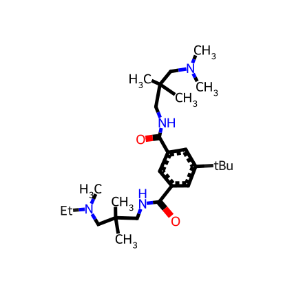 CCN(C)CC(C)(C)CNC(=O)c1cc(C(=O)NCC(C)(C)CN(C)C)cc(C(C)(C)C)c1